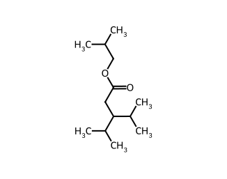 CC(C)COC(=O)CC(C(C)C)C(C)C